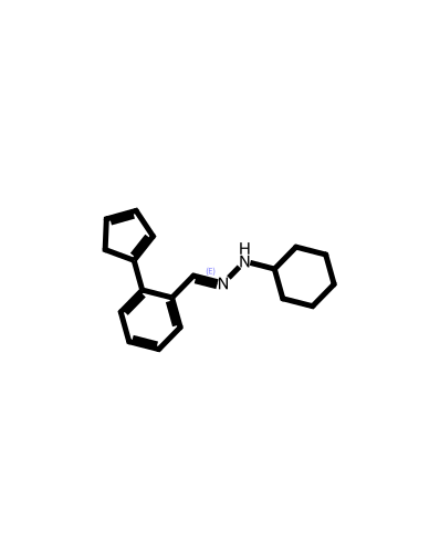 C1=CCC(c2ccccc2/C=N/NC2CCCCC2)=C1